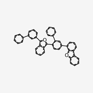 c1ccc(-c2cccc(-c3oc(-c4ccc(-c5cccc6c5oc5ccccc56)cc4-c4ccccc4)c4ccccc34)c2)cc1